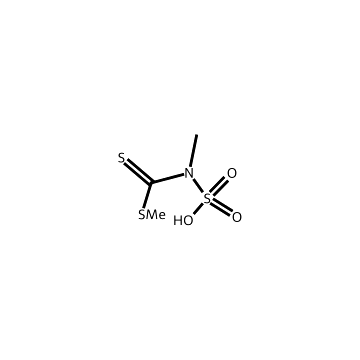 CSC(=S)N(C)S(=O)(=O)O